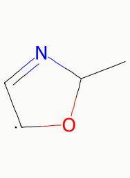 CC1N=C[CH]O1